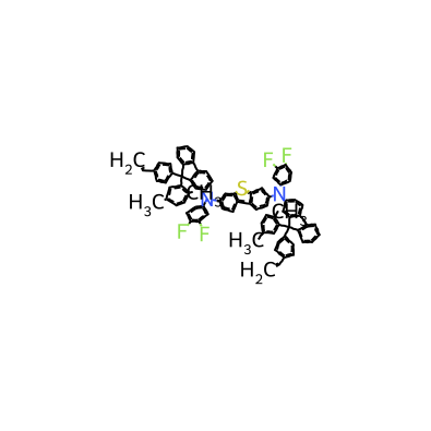 C=Cc1ccc(C2(c3cc(C)ccc3C)c3ccccc3-c3ccc(N(c4ccc(F)c(F)c4)c4ccc5c(c4)sc4cc(N(c6ccc(F)c(F)c6)c6ccc7c(c6)C(c6ccc(C=C)cc6)(c6cc(C)ccc6C)c6ccccc6-7)ccc45)cc32)cc1